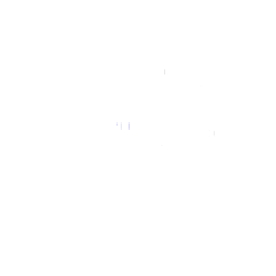 CC(C)C(=O)C(C)CNCc1ccccc1